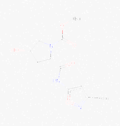 CC(C)(C)OC(=O)N1C[C@@H](O)C[C@H]1C(=O)Nc1cc(C(C)(C)C)no1